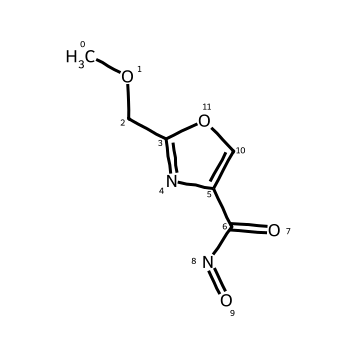 COCc1nc(C(=O)N=O)co1